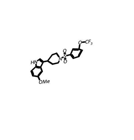 COc1ccc2[nH]cc(C3CCN(S(=O)(=O)c4cccc(OC(F)(F)F)c4)CC3)c2c1